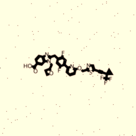 O=C(O)c1ccc2nc(Cc3cc(F)c(-c4cccc(OCc5ncc(C#CC6(C(F)(F)F)CC6)s5)n4)cc3F)n(CC3CCO3)c2c1